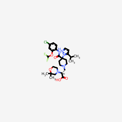 CC(C)c1ccnn1C1(C(=O)Nc2ccc(Cl)cc2OC(F)F)CCN(C[C@H](C(=O)O)N2CCOC(C)(C)C2)CC1